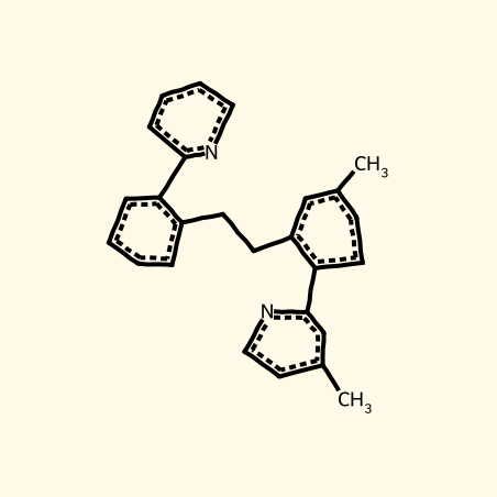 Cc1ccnc(-c2ccc(C)cc2CCc2ccccc2-c2ccccn2)c1